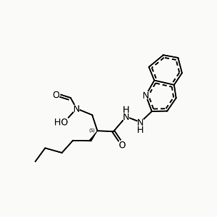 CCCCC[C@@H](CN(O)C=O)C(=O)NNc1ccc2ccccc2n1